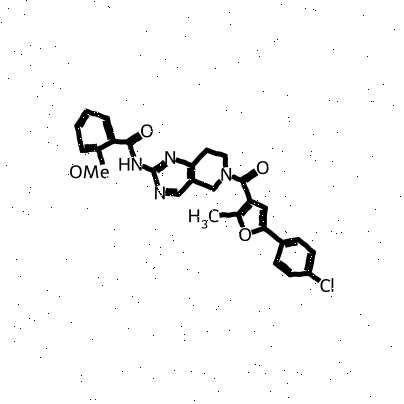 COc1ccccc1C(=O)Nc1ncc2c(n1)CCN(C(=O)c1cc(-c3ccc(Cl)cc3)oc1C)C2